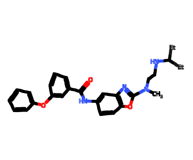 CCC(CC)NCCN(C)c1nc2cc(NC(=O)c3cccc(Oc4ccccc4)c3)ccc2o1